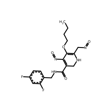 CCCCOC1=C(CN=O)NCC(C(=O)NCc2ccc(F)cc2F)=C1N=O